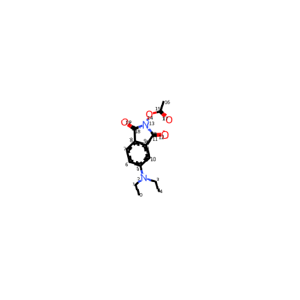 CCN(CC)c1ccc2c(c1)C(=O)N(OC(C)=O)C2=O